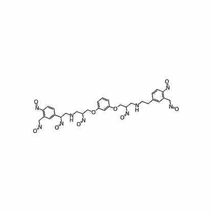 O=NCc1cc(CCNCC(COc2cccc(OCC(CNCC(N=O)c3ccc(N=O)c(CN=O)c3)N=O)c2)N=O)ccc1N=O